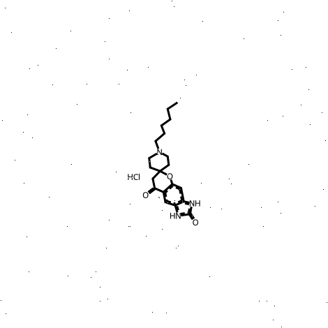 CCCCCCN1CCC2(CC1)CC(=O)c1cc3[nH]c(=O)[nH]c3cc1O2.Cl